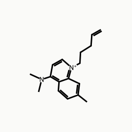 C=CCCC[n+]1ccc(N(C)C)c2ccc(C)cc21